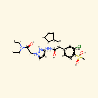 CCN(CC)C(=O)Cn1ccc(NC(=O)[C@H](CC2CCCC2)c2ccc(S(C)(=O)=O)c(Cl)c2)n1